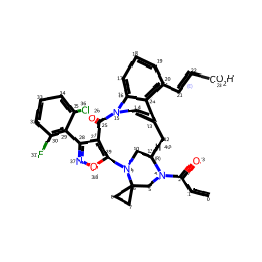 C=CC(=O)N1CC2(CC2)N2C[C@H]1Cc1cn(c3cccc(/C=C/C(=O)O)c13)C(=O)c1c(-c3c(F)cccc3Cl)noc12